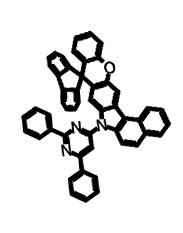 c1ccc(-c2cc(-n3c4cc5c(cc4c4c6ccccc6ccc43)Oc3ccccc3C53c4ccccc4-c4ccccc43)nc(-c3ccccc3)n2)cc1